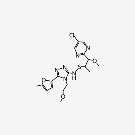 COCCn1c(NSC(C)C(OC)c2ncc(Cl)cn2)nnc1-c1ccc(C)o1